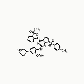 COc1cc(C2CNCCO2)ccc1Nc1nc(Oc2ccccc2S(C)(=O)=O)c2ccn(S(=O)(=O)c3ccc(C)cc3)c2n1